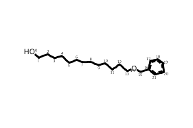 OCCCCCCCCCCCCCOCc1ccccc1